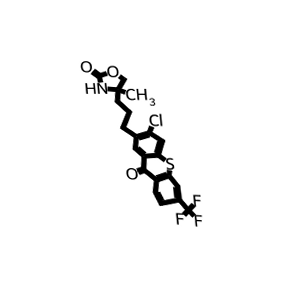 CC1(CCCc2cc3c(=O)c4ccc(C(F)(F)F)cc4sc3cc2Cl)COC(=O)N1